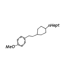 CCCCCCCC1CCC(CCc2ccc(OC)cc2)CC1